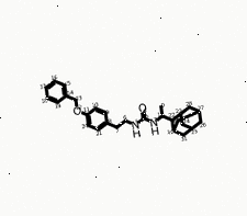 CC(NC(=O)NCCc1ccc(OCc2ccccc2)cc1)C1C2CC3CC(C2)CC1C3